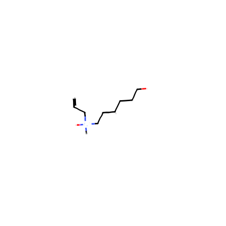 C=CC[N+]([O-])(CC)CCCCCC[O]